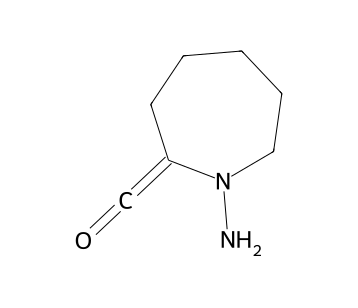 NN1CCCCCC1=C=O